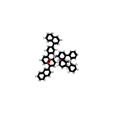 C1=C(c2ccccc2-n2c3ccccc3c3ccccc32)CCC(N(c2ccc(-c3ccc4ccccc4c3)cc2)c2cc(-c3cccc4ccccc34)ccc2-c2ccccc2)=C1